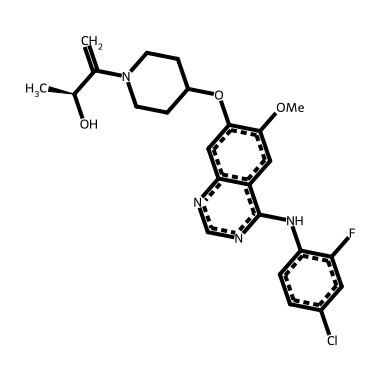 C=C([C@H](C)O)N1CCC(Oc2cc3ncnc(Nc4ccc(Cl)cc4F)c3cc2OC)CC1